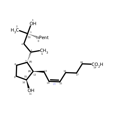 CCCCC[C@](C)(O)CC(C)[C@H]1CC[C@H](O)[C@@H]1C/C=C\CCCC(=O)O